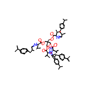 CC(/C=N\C(C(=O)OCC(COC(=O)C(/N=C\C(C)Cc1ccc(C(C)C)cc1)C(C)C)(COC(=O)C(/N=C\C(C)Cc1ccc(C(C)C)cc1)C(C)C)COC(=O)C(NC(C)Cc1ccc(C(C)C)cc1)C(C)C)C(C)C)Cc1ccc(C(C)C)cc1